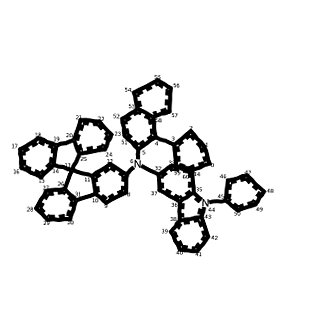 c1ccc(-c2c(N(c3ccc4c(c3)C3(c5ccccc5-c5ccccc53)c3ccccc3-4)c3ccc4c(c3)c3ccccc3n4-c3ccccc3)ccc3ccccc23)cc1